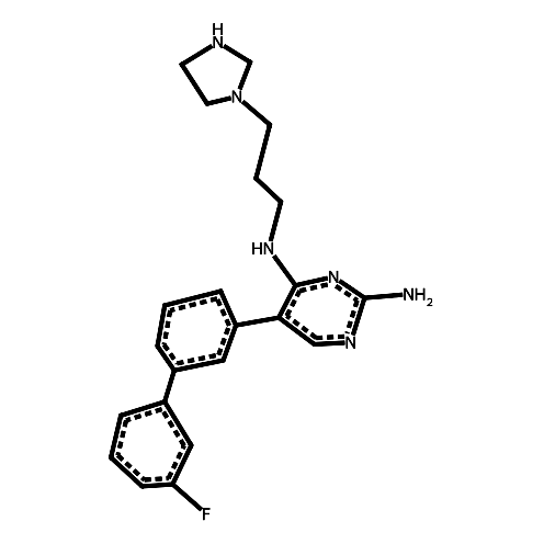 Nc1ncc(-c2cccc(-c3cccc(F)c3)c2)c(NCCCN2CCNC2)n1